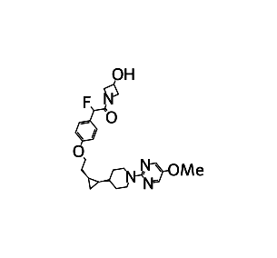 COc1cnc(N2CCC([C@H]3C[C@H]3CCOc3ccc(C(F)C(=O)N4CC(O)C4)cc3)CC2)nc1